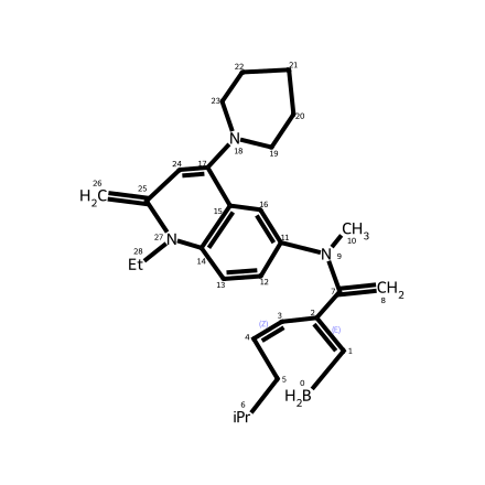 B/C=C(\C=C/CC(C)C)C(=C)N(C)c1ccc2c(c1)C(N1CCCCC1)=CC(=C)N2CC